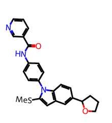 CSc1cc2cc(C3CCCO3)ccc2n1-c1ccc(NC(=O)c2cccnc2)cc1